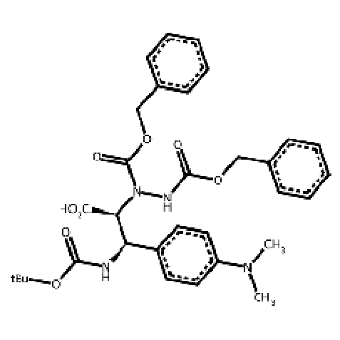 CN(C)c1ccc([C@@H](NC(=O)OC(C)(C)C)[C@@H](C(=O)O)N(NC(=O)OCc2ccccc2)C(=O)OCc2ccccc2)cc1